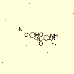 CCCc1n[nH]c2cc(O)c(C(=O)N3Cc4ccc(OCCN(C)C)cc4C3)cc12